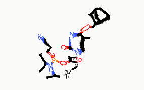 [2H]C[C@H]1O[C@@H](n2cc(C)c(OCC3CC4C=CC3C4)nc2=O)CC1OP(OCCC#N)N(C(C)C)C(C)C